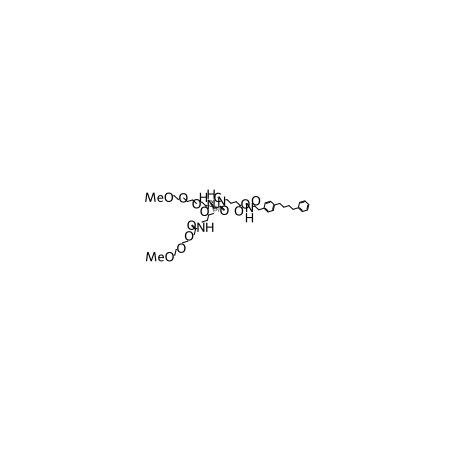 COCCOCCOCC(=O)NCCCC[C@H](NC(=O)COCCOCCOC)C(=O)N(C)CCCC(=O)ONC(=O)Cc1ccc(CCCCc2ccccc2)cc1